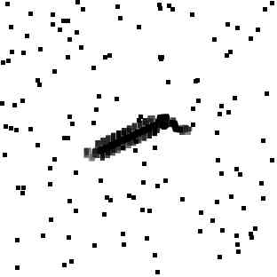 CC(C)CC[n+]1ccn(C(F)(F)C(F)(F)C(F)(F)C(F)(F)C(F)(F)C(F)(F)C(F)(F)C(F)(F)C(F)(F)C(F)(F)C(F)(F)C(F)(F)F)c1